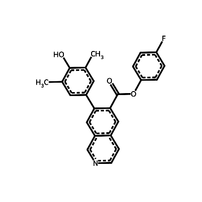 Cc1cc(-c2cc3cnccc3cc2C(=O)Oc2ccc(F)cc2)cc(C)c1O